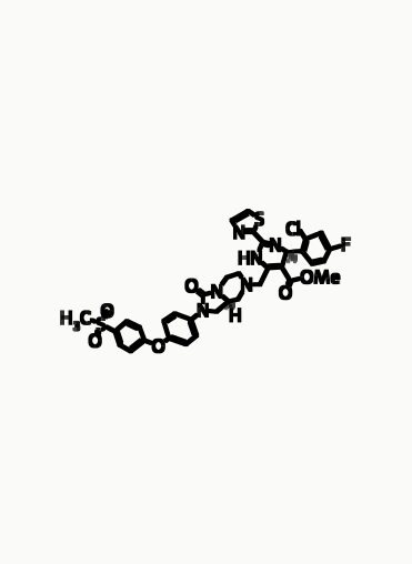 COC(=O)C1=C(CN2CCN3C(=O)N(c4ccc(Oc5ccc(S(C)(=O)=O)cc5)cc4)C[C@@H]3C2)NC(c2nccs2)=N[C@H]1c1ccc(F)cc1Cl